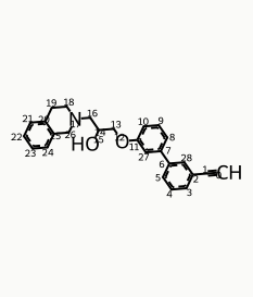 C#Cc1cccc(-c2cccc(OCC(O)CN3CCc4ccccc4C3)c2)c1